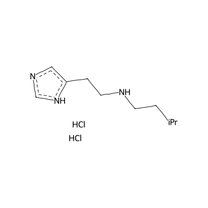 CC(C)CCNCCc1cnc[nH]1.Cl.Cl